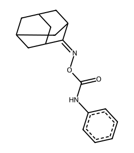 O=C(Nc1ccccc1)ON=C1C2CC3CC(C2)CC1C3